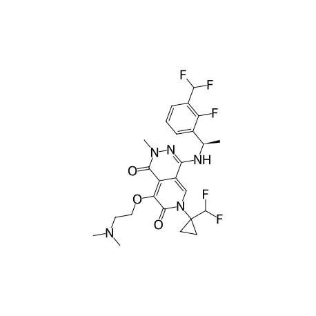 C[C@@H](Nc1nn(C)c(=O)c2c(OCCN(C)C)c(=O)n(C3(C(F)F)CC3)cc12)c1cccc(C(F)F)c1F